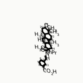 CCCC1(C(=O)NCCc2cccc(C(=O)O)c2)CC[C@]2(C)C(CCC3C4(C)CCC(=O)C(C)(C)C4CCC32C)C1C